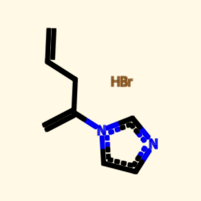 Br.C=CCC(=C)n1ccnc1